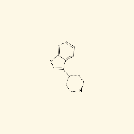 c1ccc2c(C3CC[N]CC3)csc2c1